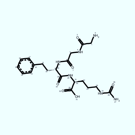 NCC(=O)NCC(=O)N[C@@H](CCc1ccccc1)C(=O)N[C@@H](CCCNC(N)=O)C(=O)O